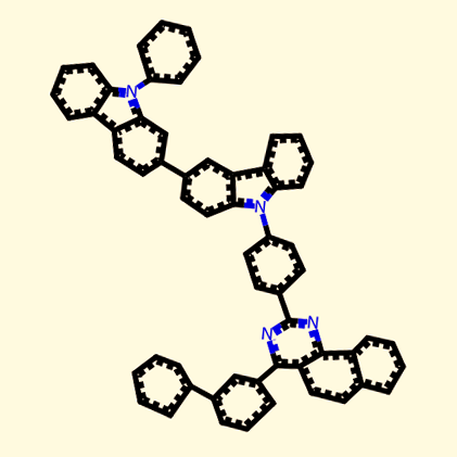 c1ccc(-c2cccc(-c3nc(-c4ccc(-n5c6ccccc6c6cc(-c7ccc8c9ccccc9n(-c9ccccc9)c8c7)ccc65)cc4)nc4c3ccc3ccccc34)c2)cc1